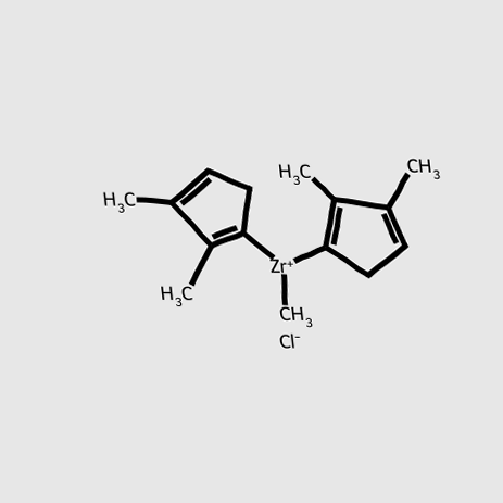 CC1=CC[C]([Zr+]([CH3])[C]2=C(C)C(C)=CC2)=C1C.[Cl-]